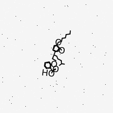 CCCCCCOc1ccc([C@@](C)(CCCC(C)C)CCOc2ccccc2C(=O)O)c2c1O2